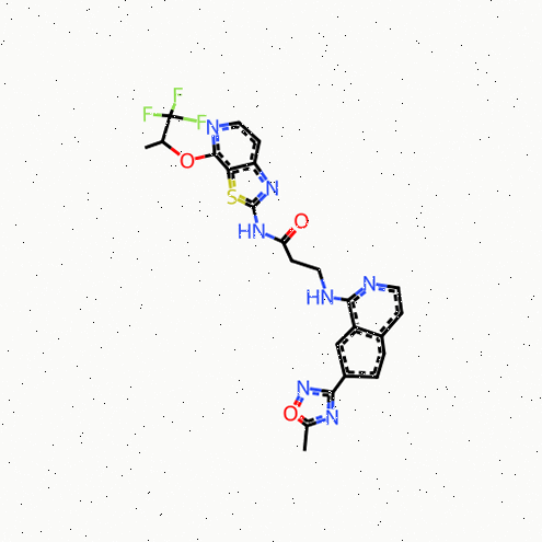 Cc1nc(-c2ccc3ccnc(NCCC(=O)Nc4nc5ccnc(OC(C)C(F)(F)F)c5s4)c3c2)no1